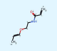 C=CC(=O)NCCOC=CC